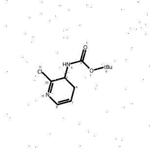 CC(C)(C)OC(=O)NC1CC=CN=C1Cl